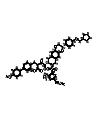 COC(=O)C(Cc1ccc(-c2ccc(C#N)cc2)cc1)NC(=O)[C@@H]1Cc2cc3c(cc2CN1S(=O)(=O)c1sc(NC(C)=O)nc1C)O[C@@H](c1ccc(OCC2CCCC2)cc1)CO3